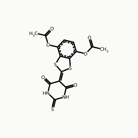 CC(=O)Oc1ccc(OC(C)=O)c2c1SC(=C1C(=O)NC(=S)NC1=O)S2